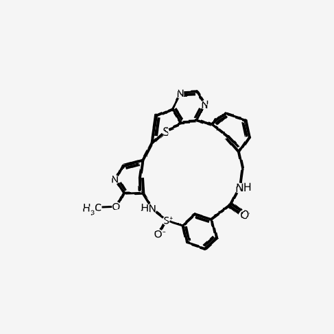 COc1ncc2cc1N[S+]([O-])c1cccc(c1)C(=O)NCc1cccc(c1)-c1ncnc3cc-2sc13